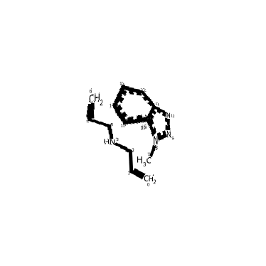 C=CCNCC=C.Cn1nnc2ccccc21